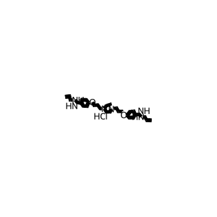 C=CCNC(=N)c1ccc(OCCCN2CCN(CCCOc3ccc(C(=N)NCC=C)cc3)CC2)cc1.Cl